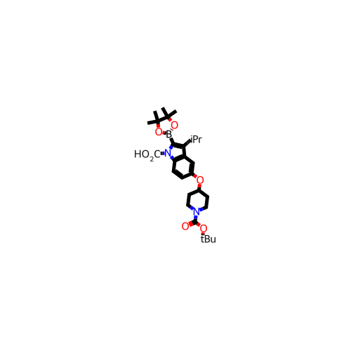 CC(C)c1c(B2OC(C)(C)C(C)(C)O2)n(C(=O)O)c2ccc(OC3CCN(C(=O)OC(C)(C)C)CC3)cc12